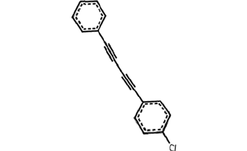 Clc1ccc(C#CC#Cc2ccccc2)cc1